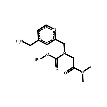 CN(C)C(=O)CN(Cc1cc(CN)ccn1)C(=O)OC(C)(C)C